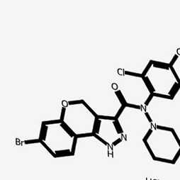 Cl.O=C(c1n[nH]c2c1COc1cc(Br)ccc1-2)N(c1ccc(Cl)cc1Cl)N1CCCCC1